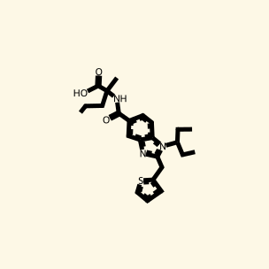 CCCC(C)(NC(=O)c1ccc2c(c1)nc(Cc1cccs1)n2C(CC)CC)C(=O)O